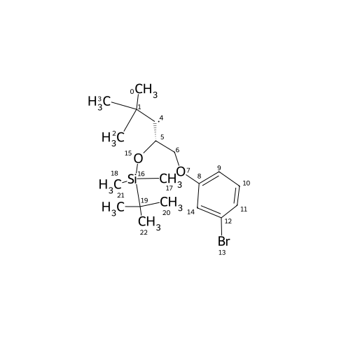 CC(C)(C)[CH][C@H](COc1cccc(Br)c1)O[Si](C)(C)C(C)(C)C